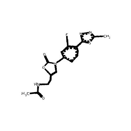 CC(=O)NCC1CN(c2ccc(-c3nnc(C)s3)c(F)c2)C(=O)O1